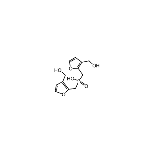 O=P(O)(Cc1occc1CO)Cc1occc1CO